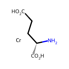 N[C@@H](CCC(=O)O)C(=O)O.[Cr]